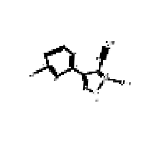 N#Cc1c(-c2cccc(Cl)c2)no[n+]1[O-]